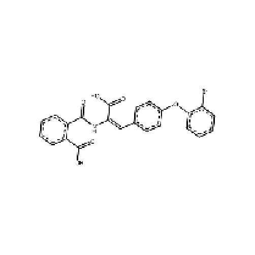 O=C(O)/C(=C\c1ccc(Oc2ccccc2Br)cc1)NC(=O)c1ccccc1C(=O)O